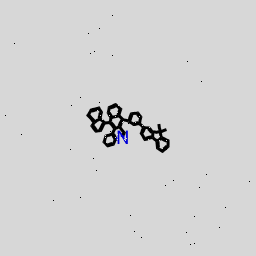 CC1(C)c2ccccc2-c2ccc(-c3cccc(-c4c5ccccc5c(-c5cccc6ccccc56)c5c6c(ncc45)C=CCC6)c3)cc21